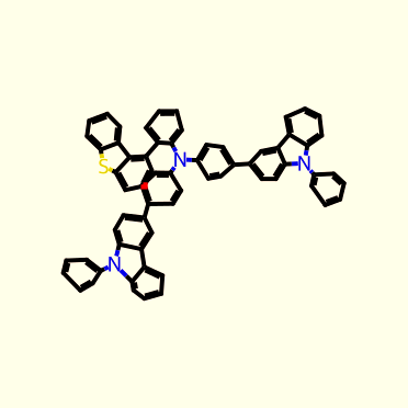 c1ccc(-n2c3ccccc3c3cc(-c4ccc(N(c5ccc(-c6ccc7c(c6)c6ccccc6n7-c6ccccc6)cc5)c5ccccc5-c5cccc6sc7ccccc7c56)cc4)ccc32)cc1